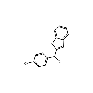 Clc1ccc(C(Cl)c2cc3ccccc3s2)cc1